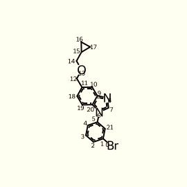 Brc1cccc(-n2cnc3cc(COCC4CC4)ccc32)c1